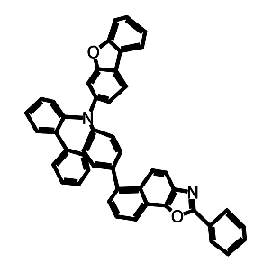 c1ccc(-c2nc3ccc4c(-c5ccc(N(c6ccc7c(c6)oc6ccccc67)c6ccccc6-c6ccccc6)cc5)cccc4c3o2)cc1